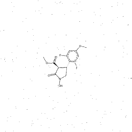 COC(=O)[C@@H]1C(=O)N(O)C[C@H]1c1c(F)cc(OC)cc1F